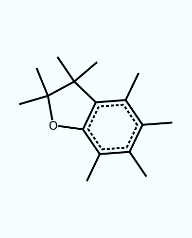 Cc1c(C)c(C)c2c(c1C)OC(C)(C)C2(C)C